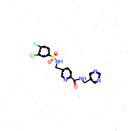 O=C(NCc1cncnc1)c1ccc(CNS(=O)(=O)c2ccc(F)c(Cl)c2)cn1